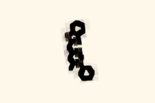 CC1=C/C(=C/c2nc3ccccc3s2)N=CN1c1ccccc1